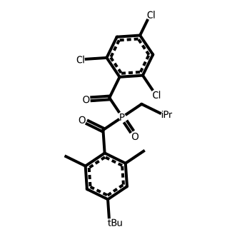 Cc1cc(C(C)(C)C)cc(C)c1C(=O)P(=O)(CC(C)C)C(=O)c1c(Cl)cc(Cl)cc1Cl